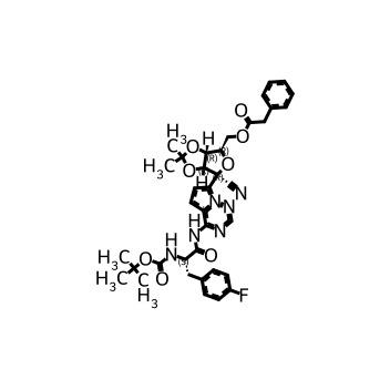 CC(C)(C)OC(=O)N[C@@H](Cc1ccc(F)cc1)C(=O)Nc1ncnn2c([C@]3(C#N)O[C@H](COC(=O)Cc4ccccc4)[C@H]4OC(C)(C)O[C@H]43)ccc12